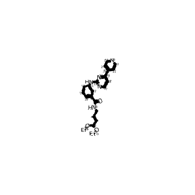 CCOC(CCCNC(=O)c1cccc(Nc2nccc(-c3ccncc3)n2)c1)OCC